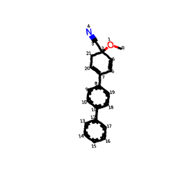 COC1(C#N)C=CC(c2ccc(-c3ccccc3)cc2)=CC1